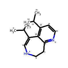 CC(C)C1=CNCCc2nccc(C(C)C)c21